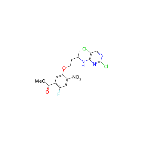 COC(=O)c1cc(OCCC(C)Nc2nc(Cl)ncc2Cl)c([N+](=O)[O-])cc1F